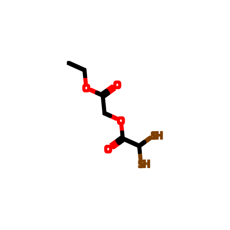 CCOC(=O)COC(=O)C(S)S